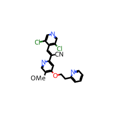 COc1cnc(/C(C#N)=C/c2c(Cl)cncc2Cl)cc1OCCc1ccccn1